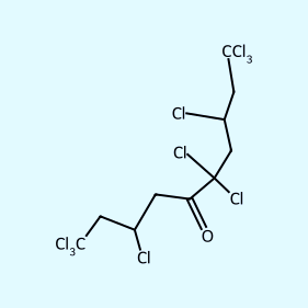 O=C(CC(Cl)CC(Cl)(Cl)Cl)C(Cl)(Cl)CC(Cl)CC(Cl)(Cl)Cl